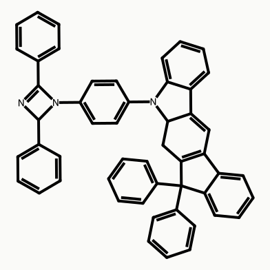 C1=C2c3ccccc3N(c3ccc(N4C(c5ccccc5)=NC4c4ccccc4)cc3)C2CC2=C1c1ccccc1C2(c1ccccc1)c1ccccc1